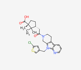 CC1(C)[C@@H](CC(=O)N2CCc3c(n(Cc4csc(Cl)c4)c4ncccc34)C2)CC[C@@]1(C)C(=O)O